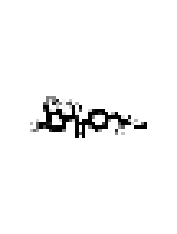 CCOC(=O)CC1CCC(NC(=O)c2ccc(Cl)c3cn[nH]c23)CC1